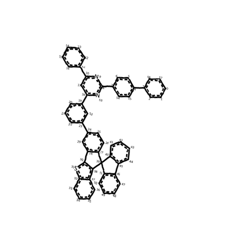 c1ccc(-c2ccc(-c3nc(-c4ccccc4)cc(-c4cccc(-c5ccc6c(c5)-c5sc7ccccc7c5C65c6ccccc6-c6ccccc65)c4)n3)cc2)cc1